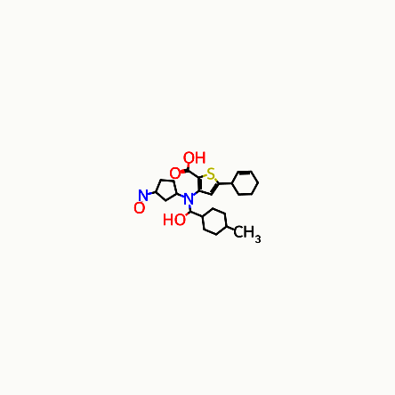 CC1CCC(C(O)N(c2cc(C3C=CCCC3)sc2C(=O)O)C2CCC(N=O)C2)CC1